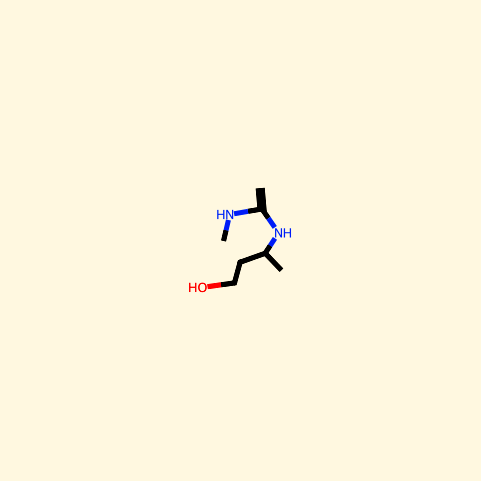 C=C(NC)NC(C)CCO